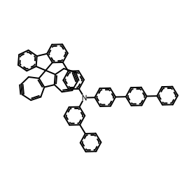 C1#CCC2=C(C=C1)C1=C(CC#CC=C1)C21c2ccccc2-c2cccc(-c3ccc(N(c4ccc(-c5ccc(-c6ccccc6)cc5)cc4)c4cccc(-c5ccccc5)c4)cc3)c21